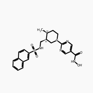 C[C@H]1CCN(c2ncc(C(=O)NO)cn2)C[C@H]1CNS(=O)(=O)c1ccc2ccccc2c1